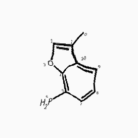 Cc1coc2c(P)cccc12